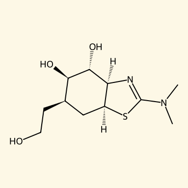 CN(C)C1=N[C@@H]2[C@@H](O)[C@H](O)[C@H](CCO)C[C@@H]2S1